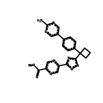 COC(=O)c1cnc(-c2nc(C3(c4ccc(-c5cnc(N)nc5)cc4)CCC3)no2)cn1